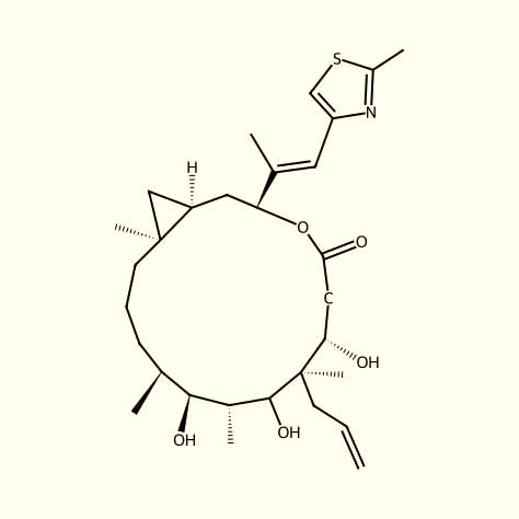 C=CC[C@@]1(C)C(O)[C@H](C)[C@@H](O)[C@@H](C)CCC[C@@]2(C)C[C@H]2C[C@@H](/C(C)=C/c2csc(C)n2)OC(=O)C[C@@H]1O